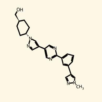 Cn1cc(-c2cccc(-c3ncc(-c4cnn([C@H]5CC[C@H](CO)CC5)c4)cn3)c2)cn1